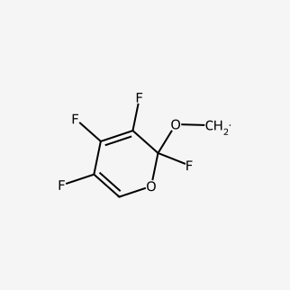 [CH2]OC1(F)OC=C(F)C(F)=C1F